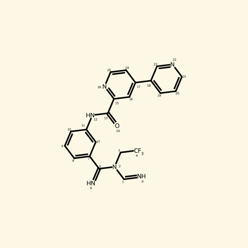 N=CN(CC(F)(F)F)C(=N)c1cccc(NC(=O)c2cc(-c3cccnc3)ccn2)c1